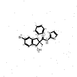 C[C@]1(C(=O)Nc2nccs2)[C@@H](c2ccccc2)c2cc(Br)ccc2[C@H]1O